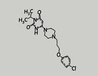 CC(C)n1c(=O)cc(N2CCN(CCCOc3ccc(Cl)cc3)CC2)[nH]c1=O